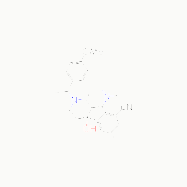 COc1ccc(C(C)N2CCC(O)(c3cccc(C#N)c3)C(CN(C)C)C2)cc1